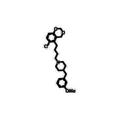 COc1cccc(CC2CCN(CCCCc3c(Cl)ccc4c3COCO4)CC2)c1